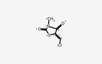 CN1C(=O)S/C(=C\Cl)C1=O